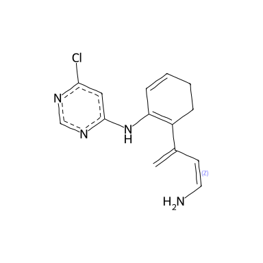 C=C(/C=C\N)C1=C(Nc2cc(Cl)ncn2)C=CCC1